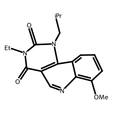 CCn1c(=O)c2cnc3c(OC)cccc3c2n(CC(C)C)c1=O